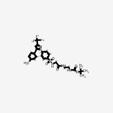 Cc1ccc(-c2cc(C(F)(F)F)nn2-c2ccc(S(=O)(=O)NCC(=O)NCCNC(=O)OC(C)(C)C)cc2)cc1